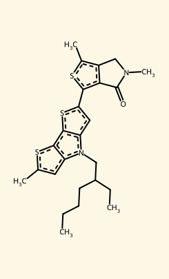 CCCCC(CC)Cn1c2cc(C)sc2c2sc(-c3sc(C)c4c3C(=O)N(C)C4)cc21